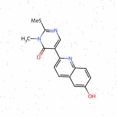 CSc1ncc(-c2ccc3cc(O)ccc3n2)c(=O)n1C